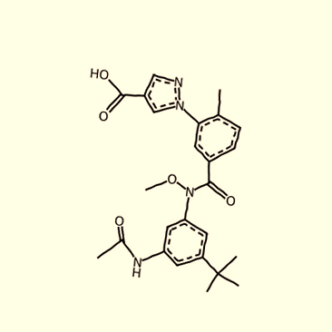 CON(C(=O)c1ccc(C)c(-n2cc(C(=O)O)cn2)c1)c1cc(NC(C)=O)cc(C(C)(C)C)c1